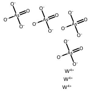 O=[As]([O-])([O-])[O-].O=[As]([O-])([O-])[O-].O=[As]([O-])([O-])[O-].O=[As]([O-])([O-])[O-].[W+4].[W+4].[W+4]